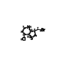 Clc1ccnc2c(CBr)csc12